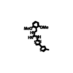 COc1cccc(OC)c1CNC(=N)Nc1nc(-c2cc(C)cs2)cs1